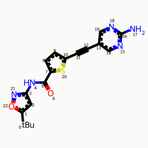 CC(C)(C)c1cc(NC(=O)c2ccc(C#Cc3cnc(N)nc3)s2)no1